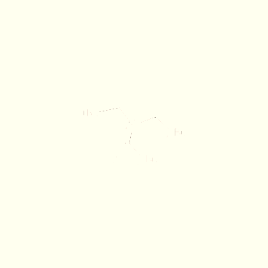 CC(C)(C)[CH2][Zr+]([CH2]C(C)(C)C)[CH2]C(C)(C)C.[Cl-]